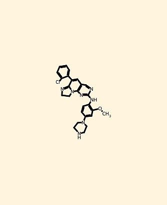 COc1cc(N2CCNCC2)ccc1Nc1ncc2c(n1)N1CCN=C1C(c1ccccc1Cl)=C2